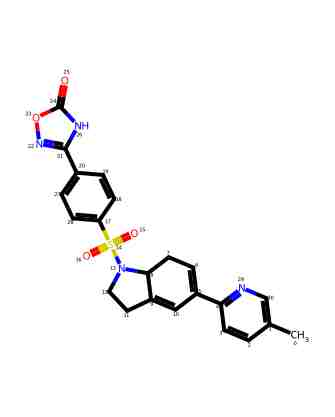 Cc1ccc(C2=CCC3C(=C2)CCN3S(=O)(=O)c2ccc(-c3noc(=O)[nH]3)cc2)nc1